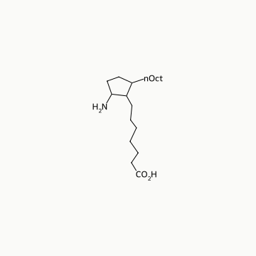 CCCCCCCCC1CCC(N)C1CCCCCCC(=O)O